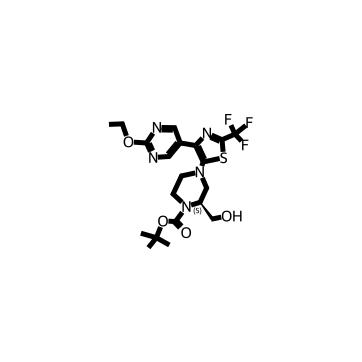 CCOc1ncc(-c2nc(C(F)(F)F)sc2N2CCN(C(=O)OC(C)(C)C)[C@H](CO)C2)cn1